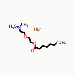 Br.CCCCCCCCCCCCCCCC(=O)OCCOCCN(C)C